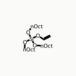 C=CO[Si](OCCCCCCCC)(OCCCCCCCC)OCCCCCCCC